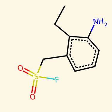 CCc1c(N)cccc1CS(=O)(=O)F